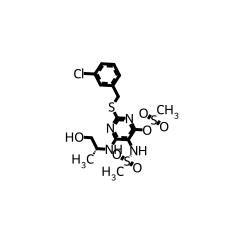 C[C@H](CO)Nc1nc(SCc2cccc(Cl)c2)nc(OS(C)(=O)=O)c1NS(C)(=O)=O